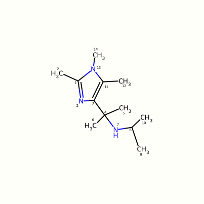 Cc1nc(C(C)(C)NC(C)C)c(C)n1C